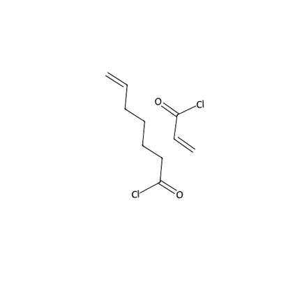 C=CC(=O)Cl.C=CCCCCC(=O)Cl